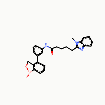 Cn1c(CCCCC(=O)Nc2cccc(-c3cccc4c3COB4O)c2)nc2ccccc21